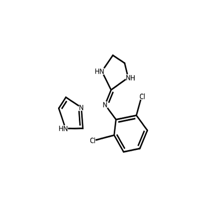 Clc1cccc(Cl)c1N=C1NCCN1.c1c[nH]cn1